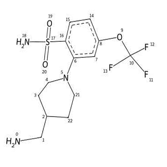 NCC1CCN(c2cc(OC(F)(F)F)ccc2S(N)(=O)=O)CC1